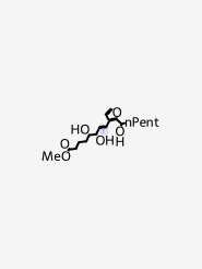 CCCCCC(O)c1occc1/C=C/C(O)C(O)CCCC(=O)OC